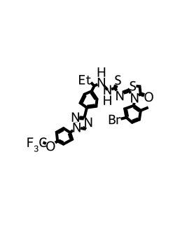 CCC(NNC(=S)/N=C1\SCC(=O)N1c1cc(Br)ccc1C)c1ccc(-c2ncn(-c3ccc(OC(F)(F)F)cc3)n2)cc1